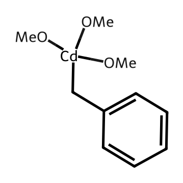 C[O][Cd]([CH2]c1ccccc1)([O]C)[O]C